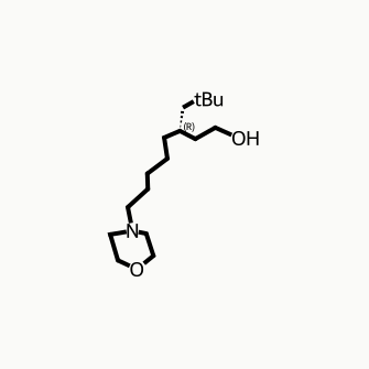 CC(C)(C)C[C@H](CCO)CCCCCN1CCOCC1